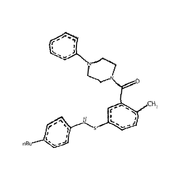 CCCCc1ccc(NSc2ccc(C)c(C(=O)N3CCN(c4ccccc4)CC3)c2)cc1